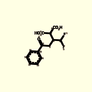 O=C(CC(C(F)F)C(C(=O)O)C(=O)O)c1ccccc1